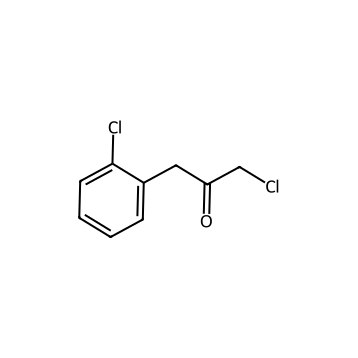 O=C(CCl)Cc1ccccc1Cl